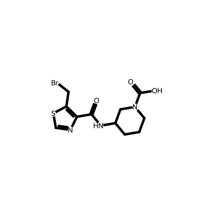 O=C(NC1CCCN(C(=O)O)C1)c1ncsc1CBr